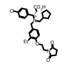 CCc1cc(CN(CC2CCCC2)[C@@H](CC(=O)O)c2ccc(Cl)cc2)ccc1OCCN1C(=O)CCC1=O